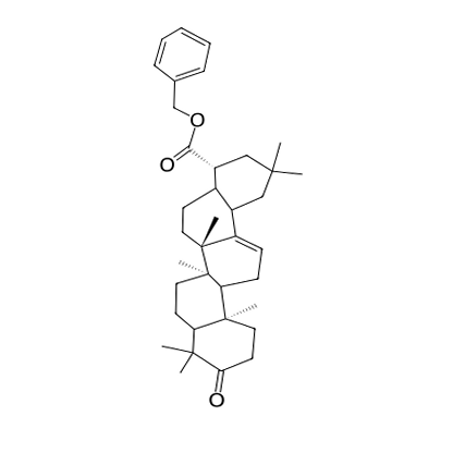 CC1(C)CC2C3=CCC4[C@@]5(C)CCC(=O)C(C)(C)C5CC[C@@]4(C)[C@]3(C)CCC2[C@H](C(=O)OCc2ccccc2)C1